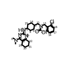 CN(C)c1nc(NC2CCC(CN(Cc3ccccc3Cl)C(=O)O)CC2)nc2c1CCCC2